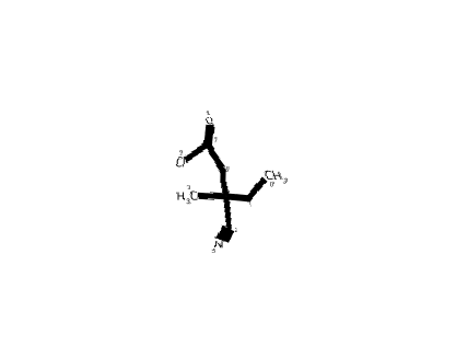 CCC(C)(C#N)CC(=O)Cl